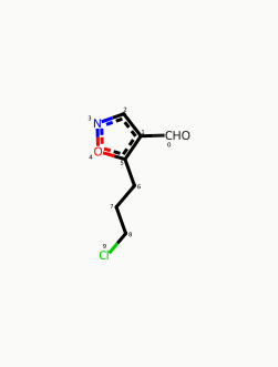 O=Cc1cnoc1CCCCl